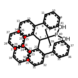 CC(C)(C(c1c(-c2ccccc2)cccc1-c1ccccc1)c1c(-c2ccccc2)cccc1-c1ccccc1)P(O)O